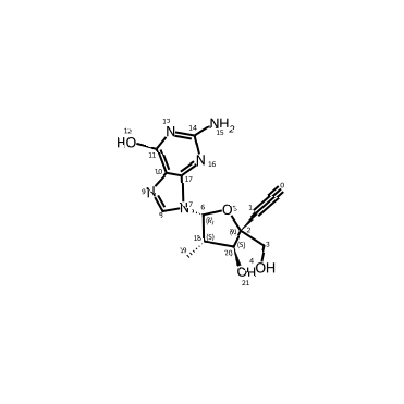 C#C[C@]1(CO)O[C@@H](n2cnc3c(O)nc(N)nc32)[C@@H](C)[C@@H]1O